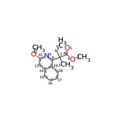 CCC(C)(C(=O)OC)c1nc(OC)cc2ccccc12